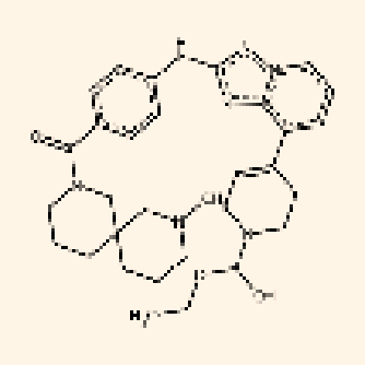 CCOC(O)N1CC=C(c2cccn3nc(Nc4ccc(C(=O)N5CCCC6(CCCN(C)C6)C5)cc4)nc23)CC1